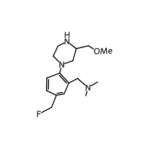 COCC1CN(c2ccc(CF)cc2CN(C)C)CCN1